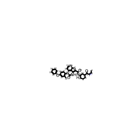 C/C=C\C(=O)C1CCC[C@@H](NC(=O)c2sc3nccc4c3c2NC(=O)N4c2ccc(Oc3ccccc3)cc2C)C1